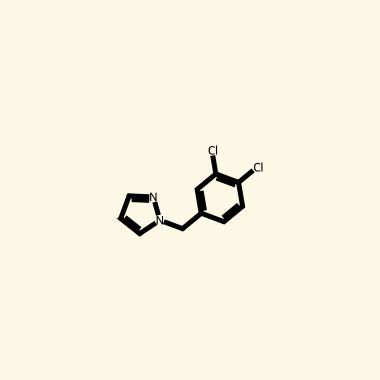 Clc1ccc(Cn2c[c]cn2)cc1Cl